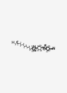 CCCCCCCCCCc1cnc(C2CCC(COc3ccc(C#N)cc3F)CC2)nc1